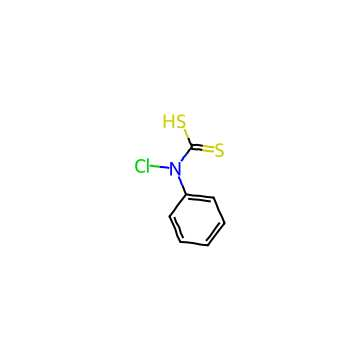 S=C(S)N(Cl)c1ccccc1